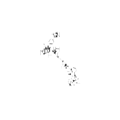 Cc1noc(C)c1-c1ccc(-c2nc3cnccn3c2NCC(=O)NCCCCNC(=O)COc2cccc3c2C(=O)C(C2CCC(=O)NC2=O)C3=O)cc1